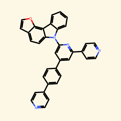 c1ccc2c(c1)c1c3occc3ccc1n2-c1cc(-c2ccc(-c3ccncc3)cc2)cc(-c2ccncc2)n1